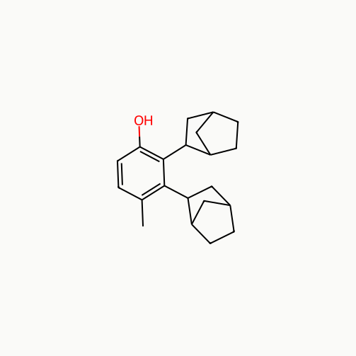 Cc1ccc(O)c(C2CC3CCC2C3)c1C1CC2CCC1C2